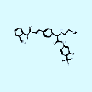 Nc1ccccc1NC(=O)/C=C/c1ccc(C(NCCO)C(=O)Nc2ccc(C(F)(F)F)c(Cl)c2)cc1